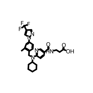 Cc1cc(-n2cc(C(F)(F)F)cn2)ccc1CN(c1ccc(C(=O)NCCC(=O)O)cn1)C1CCCCC1